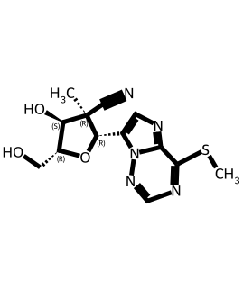 CSc1ncnn2c([C@@H]3O[C@H](CO)[C@@H](O)[C@@]3(C)C#N)cnc12